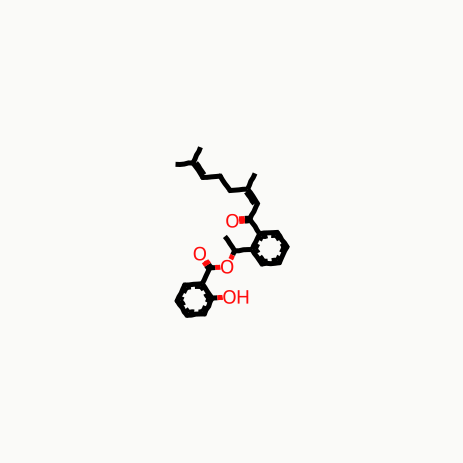 CC(C)=CCCC(C)=CC(=O)c1ccccc1C(C)OC(=O)c1ccccc1O